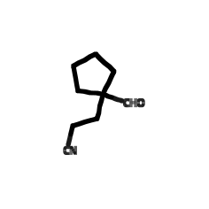 N#CCCC1(C=O)CCCC1